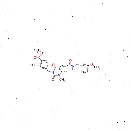 COC(=O)c1ccc(Cn2c(=O)c3cc(C(=O)NCc4cccc(OC)c4)sc3n(C)c2=O)cc1C